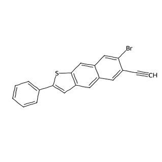 C#Cc1cc2cc3cc(-c4ccccc4)sc3cc2cc1Br